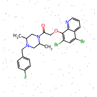 CC1CN(C(=O)COc2c(Br)cc(Br)c3cccnc23)C(C)CN1Cc1ccc(F)cc1